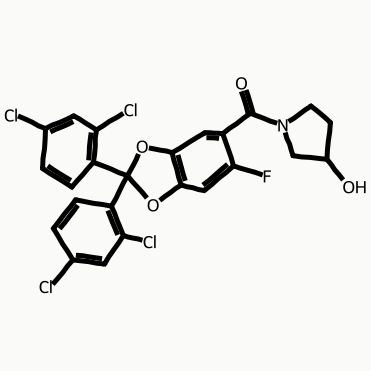 O=C(c1cc2c(cc1F)OC(c1ccc(Cl)cc1Cl)(c1ccc(Cl)cc1Cl)O2)N1CCC(O)C1